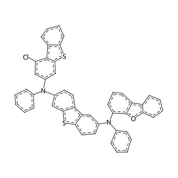 Clc1cc(N(c2ccccc2)c2ccc3c(c2)sc2ccc(N(c4ccccc4)c4cccc5c4oc4ccccc45)cc23)cc2sc3ccccc3c12